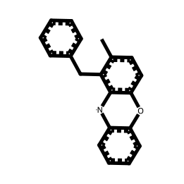 Cc1ccc2c(c1Cc1ccccc1)[N]c1ccccc1O2